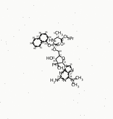 CC(C)OC(=O)[C@@H](C)NP(=S)(OCC1O[C@@H](n2cnc3c(N(C)C)nc(N)nc32)[C@](C)(F)[C@@H]1O)Oc1cccc2ccccc12